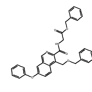 O=C(CNC(=O)c1ncc2cc(Oc3ccccc3)ccc2c1COCc1ccccc1)OCc1ccccc1